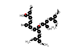 C=CCOc1ccc(C(c2ccc(OCC=C)cc2)c2ccc(Oc3ccc(C(c4ccc(Oc5ccc(C(c6ccc(O)cc6)c6ccc(Oc7ccc(C(c8ccc(OCC=C)cc8)c8ccc(OCC9CO9)cc8)cc7)cc6)cc5)cc4)c4ccc(Oc5ccc(C(c6ccc(Br)cc6)c6ccc(Oc7ccc(C(c8ccc(O)cc8)c8ccc(OCC9CO9)cc8)cc7)cc6)cc5)cc4)cc3)cc2)cc1